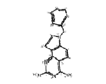 Nc1nc(N)c2ccc3c(ccn3Cc3cc[c]cc3)c2n1